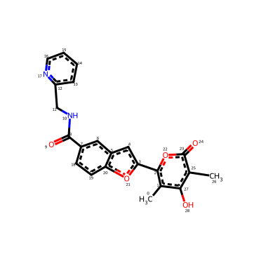 Cc1c(-c2cc3cc(C(=O)NCc4ccccn4)ccc3o2)oc(=O)c(C)c1O